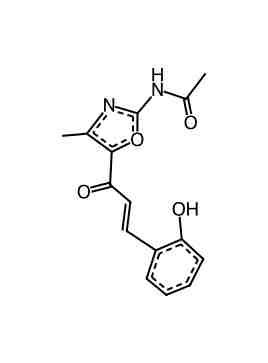 CC(=O)Nc1nc(C)c(C(=O)C=Cc2ccccc2O)o1